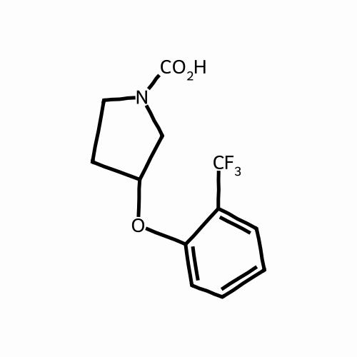 O=C(O)N1CCC(Oc2ccccc2C(F)(F)F)C1